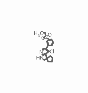 CCS(=O)(=O)c1cccc(-c2cnc3c(c2Cl)C2(CCCC2)CN3)c1